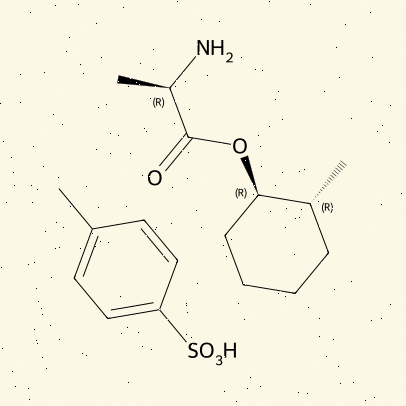 C[C@@H]1CCCC[C@H]1OC(=O)[C@@H](C)N.Cc1ccc(S(=O)(=O)O)cc1